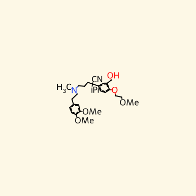 COCCOc1ccc(C(C#N)(CCCN(C)CCc2ccc(OC)c(OC)c2)C(C)C)cc1CO